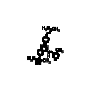 Cc1ccncc1CNc1nc(N2CCN(CCN(C)C)CC2)nc2ccc(-c3c(C)noc3C)cc12